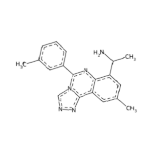 Cc1cccc(-c2nc3c(C(C)N)cc(C)cc3c3nncn23)c1